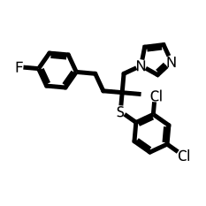 CC(CCc1ccc(F)cc1)(Cn1ccnc1)Sc1ccc(Cl)cc1Cl